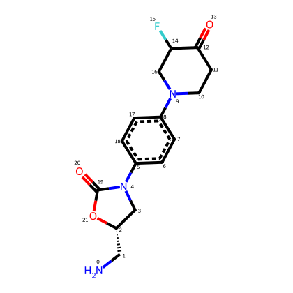 NC[C@H]1CN(c2ccc(N3CCC(=O)C(F)C3)cc2)C(=O)O1